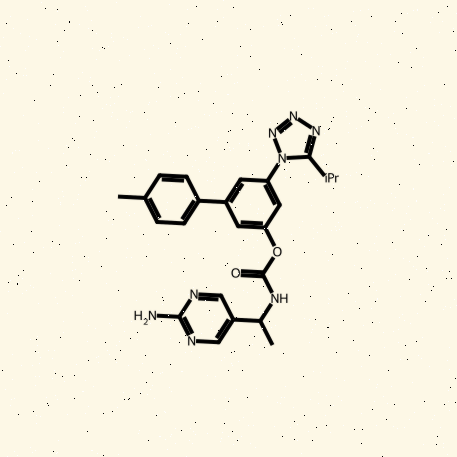 Cc1ccc(-c2cc(OC(=O)NC(C)c3cnc(N)nc3)cc(-n3nnnc3C(C)C)c2)cc1